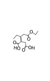 CCOC(=O)CC(CC)=C(CC(=O)O)C(=O)O